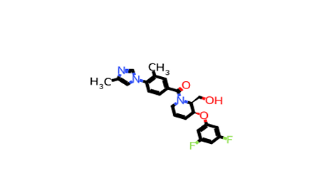 Cc1cn(-c2ccc(C(=O)N3CC=C[C@H](Oc4cc(F)cc(F)c4)[C@@H]3CO)cc2C)cn1